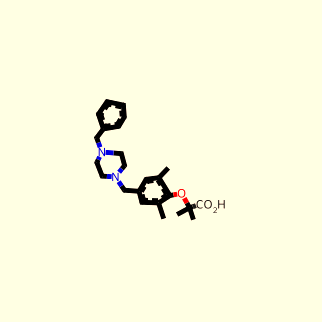 Cc1cc(CN2CCN(Cc3ccccc3)CC2)cc(C)c1OC(C)(C)C(=O)O